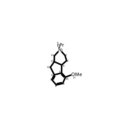 CCCN1CCC2c3c(cccc3OC)CC2C1